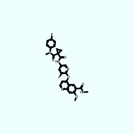 CNC(=O)c1cc2c(Oc3ncc(NC(=O)C4(C(=O)N(C)c5ccc(F)cc5)CC4)cc3F)ccnc2cc1OC